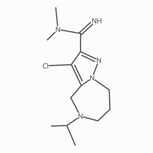 CC(C)N1CCCn2nc(C(=N)N(C)C)c(Cl)c2C1